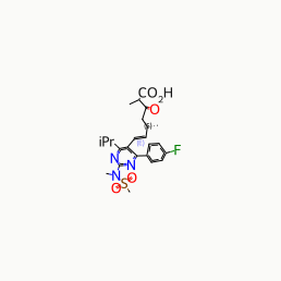 CC(C(=O)O)C(=O)C[C@H](C)/C=C/c1c(-c2ccc(F)cc2)nc(N(C)S(C)(=O)=O)nc1C(C)C